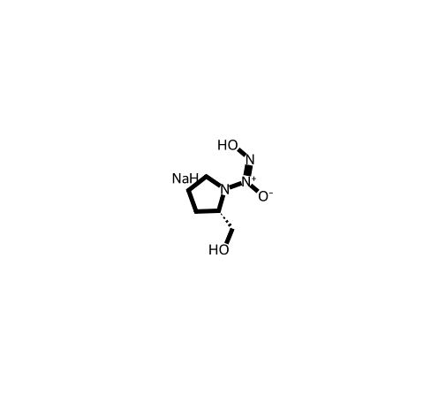 [NaH].[O-]/[N+](=N/O)N1CCC[C@H]1CO